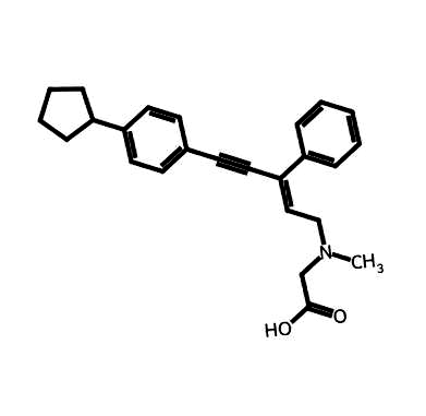 CN(CC=C(C#Cc1ccc(C2CCCC2)cc1)c1ccccc1)CC(=O)O